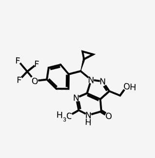 Cc1nc2c(c(CO)nn2[C@@H](c2ccc(OC(F)(F)F)cc2)C2CC2)c(=O)[nH]1